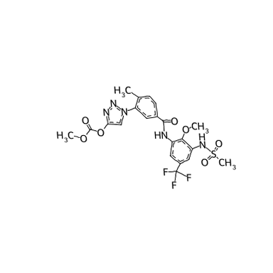 COC(=O)Oc1cn(-c2cc(C(=O)Nc3cc(C(F)(F)F)cc(NS(C)(=O)=O)c3OC)ccc2C)nn1